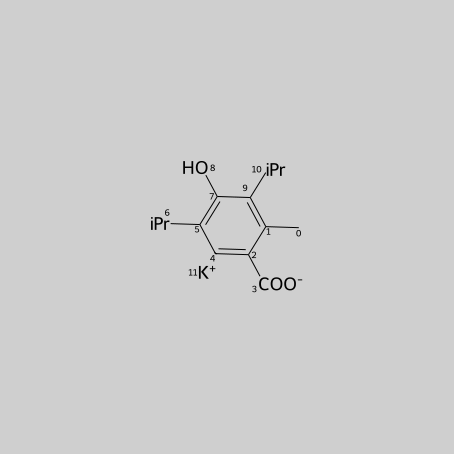 Cc1c(C(=O)[O-])cc(C(C)C)c(O)c1C(C)C.[K+]